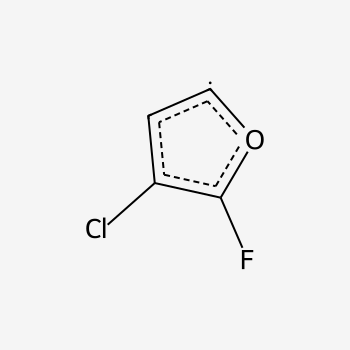 Fc1o[c]cc1Cl